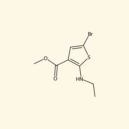 CCNc1sc(Br)cc1C(=O)OC